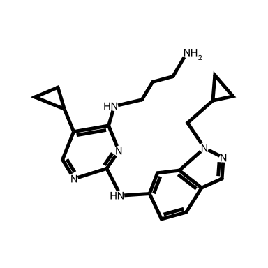 NCCCNc1nc(Nc2ccc3cnn(CC4CC4)c3c2)ncc1C1CC1